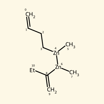 C=CC[CH2][Zn]([CH3])[Zn]([CH3])[C](=C)CC